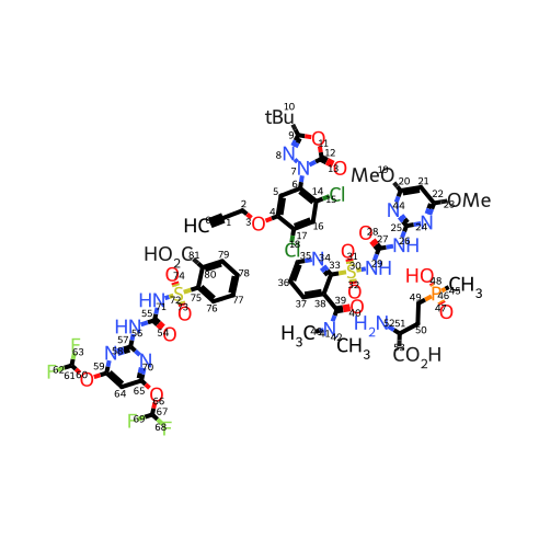 C#CCOc1cc(-n2nc(C(C)(C)C)oc2=O)c(Cl)cc1Cl.COc1cc(OC)nc(NC(=O)NS(=O)(=O)c2ncccc2C(=O)N(C)C)n1.CP(=O)(O)CCC(N)C(=O)O.O=C(Nc1nc(OC(F)F)cc(OC(F)F)n1)NS(=O)(=O)c1ccccc1C(=O)O